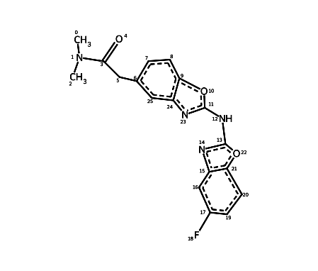 CN(C)C(=O)Cc1ccc2oc(Nc3nc4cc(F)ccc4o3)nc2c1